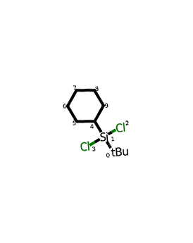 CC(C)(C)[Si](Cl)(Cl)C1CCCCC1